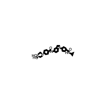 O=C(Nc1ccc2c(ccn2-c2ccc(C(=O)NC3CC3)cc2)c1)c1ccc(N2CCS(O)(O)CC2)cc1